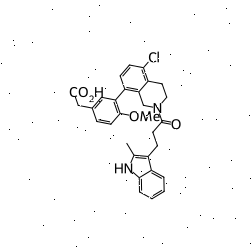 COc1ccc(CC(=O)O)cc1-c1ccc(Cl)c2c1CN(C(=O)CCc1c(C)[nH]c3ccccc13)CC2